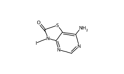 Nc1ncnc2c1sc(=O)n2I